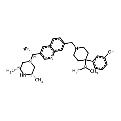 CCC[C@H](c1cnc2cc(CN3CCC(c4cccc(O)c4)(N(C)C)CC3)ccc2c1)N1C[C@@H](C)N[C@@H](C)C1